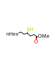 CCCCCCCCC(S)CCC(=O)OC